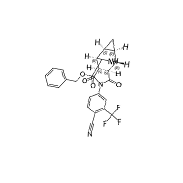 N#Cc1ccc(N2C(=O)[C@@H]3[C@@H]4NC(C(=O)OCc5ccccc5)[C@H]([C@H]5C[C@H]54)[C@@H]3C2=O)cc1C(F)(F)F